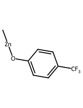 [CH3][Zn][O]c1ccc(C(F)(F)F)cc1